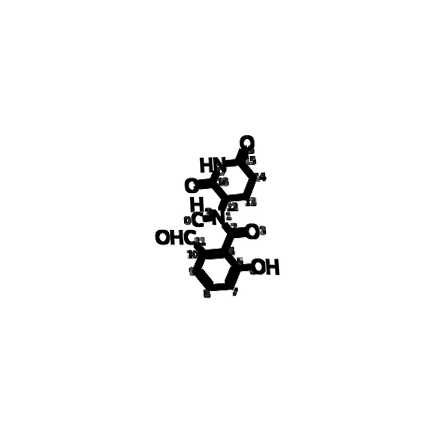 CN(C(=O)c1c(O)cccc1C=O)C1CCC(=O)NC1=O